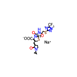 Cn1c(SCC(=O)N[C@@H]2C(=O)N3C(C(=O)[O-])=C(/C=C4\CCN(C5CC5)C4=O)CS[C@H]23)nnc1C(F)(F)F.[Na+]